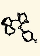 Clc1ccc(Oc2nccnc2-c2cccc3ccccc23)cc1